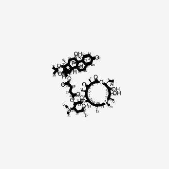 CC[C@H]1OC(=O)[C@H](C)C(=O)[C@H](C)[C@@H](O[C@@H]2O[C@H](C)CC(N(C)C)[C@H]2OC(=O)CCC(=O)OCC(=O)C23OC(C)(C)O[C@@H]2C[C@H]2[C@@H]4CCC5=CC(=O)C=C[C@]5(C)[C@@]4(F)[C@@H](O)C[C@@]23C)[C@](C)(O)C[C@@H](C)CN(C)[C@H](C)[C@@H](O)[C@]1(C)O